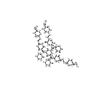 COc1ccc(/C=C/c2ccc(N(c3ccccc3)c3cc(N(c4ccccc4)c4ccc(/C=C/c5ccc(OC)cc5)cc4)cc(N(c4ccccc4)c4ccc(/C=C/c5ccc(OC)cc5)cc4)c3)cc2)cc1